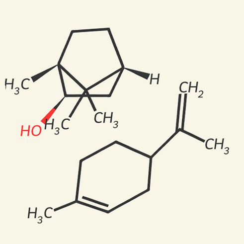 C=C(C)C1CC=C(C)CC1.CC1(C)[C@@H]2CC[C@@]1(C)[C@H](O)C2